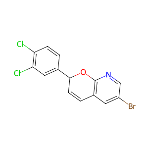 Clc1ccc(C2C=Cc3cc(Br)cnc3O2)cc1Cl